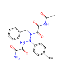 CCC(=O)NC(=O)C(=O)N(Cc1ccccc1)N(NC(=O)C(N)=O)c1ccc(C(C)CC)cc1